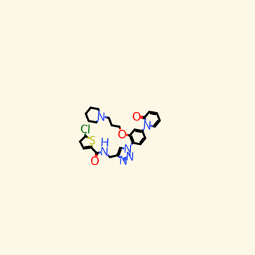 O=C(NCc1cn(-c2ccc(-n3ccccc3=O)cc2OCCCN2CCCCC2)nn1)C1=CCC(Cl)S1